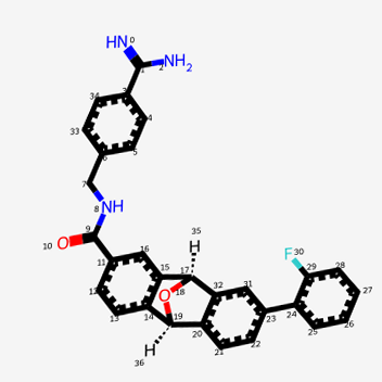 N=C(N)c1ccc(CNC(=O)c2ccc3c(c2)[C@@H]2O[C@H]3c3ccc(-c4ccccc4F)cc32)cc1